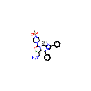 CC(C)(C)[C@H](c1nc(-c2ccccc2)cn1Cc1ccccc1)N(C[C@@H](F)CN)C(=O)N1CCN(S(C)(=O)=O)CC1